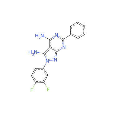 Nc1nc(-c2ccccc2)nc2nn(-c3ccc(F)c(F)c3)c(N)c12